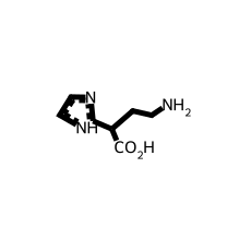 NCCC(C(=O)O)c1ncc[nH]1